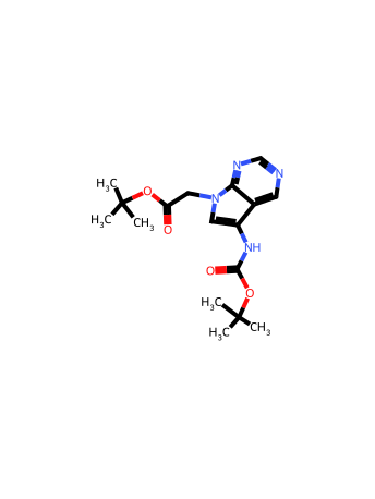 CC(C)(C)OC(=O)Cn1cc(NC(=O)OC(C)(C)C)c2cncnc21